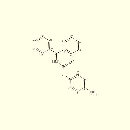 Nc1ccc(CC(=O)NC(c2ccccc2)c2ccccc2)nc1